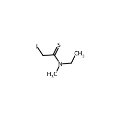 CCN(C)C(=S)CI